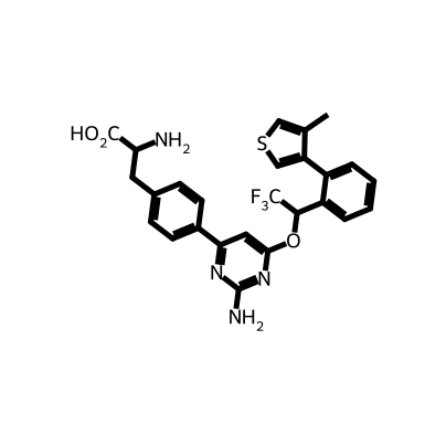 Cc1cscc1-c1ccccc1C(Oc1cc(-c2ccc(CC(N)C(=O)O)cc2)nc(N)n1)C(F)(F)F